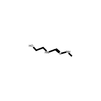 CN/N=C/NCCO